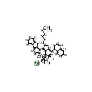 CCCCCCC1=Cc2c(-c3cccc4ccccc34)cccc2C1c1[c]([Zr+2][SiH](C)C)ccc2c1Cc1ccccc1-2.[Cl-].[Cl-]